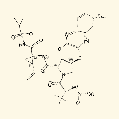 C=C[C@@H]1C[C@]1(NC(=O)[C@@H]1C[C@@H](Oc2nc3cc(OC)ccc3nc2Cl)CN1C(=O)C(NC(=O)O)C(C)(C)C)C(=O)NS(=O)(=O)C1CC1